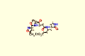 CCOC(=O)/C=C/[C@H](C[C@@H]1CCNC1=O)NC(=O)CCC(=O)[C@@H](NC(=O)c1cc(C)on1)C(C)C